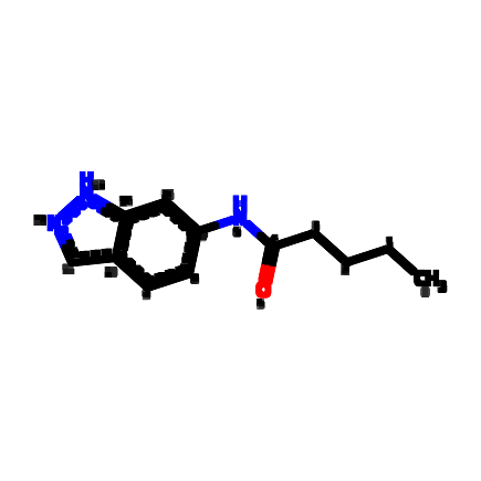 CCCCC(=O)Nc1ccc2cn[nH]c2c1